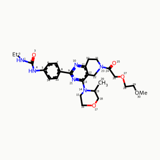 CCNC(=O)Nc1ccc(-c2nc3c(c(N4CCOCC4C)n2)CN(C(=O)COCCOC)CC3)cc1